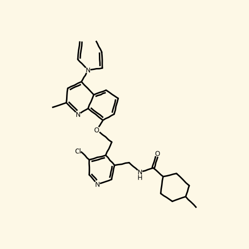 C=CN(/C=C\C)c1cc(C)nc2c(OCc3c(Cl)cncc3CNC(=O)C3CCC(C)CC3)cccc12